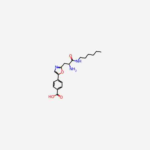 CCCCCCNC(=O)[C@@H](N)Cc1ncc(-c2ccc(C(=O)O)cc2)o1